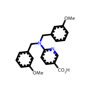 COc1cccc(CN(Cc2cccc(OC)c2)c2ccc(C(=O)O)cn2)c1